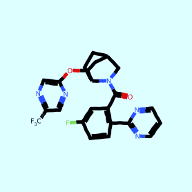 O=C(c1cc(F)ccc1-c1ncccn1)N1CC2CCC1C(Oc1cnc(C(F)(F)F)cn1)C2